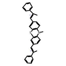 C/C(=C\c1ccc2c(c1)Sc1cc(/C=C(\C)c3ccccc3)ccc1N2C)c1ccccc1